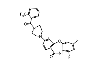 O=C1Nc2c(F)cc(F)cc2Oc2nc(N3CCN(C(=O)c4ccccc4C(F)(F)F)CC3)ccc21